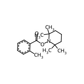 Cc1ccccc1C(=O)ON1C(C)(C)CCCC1(C)C